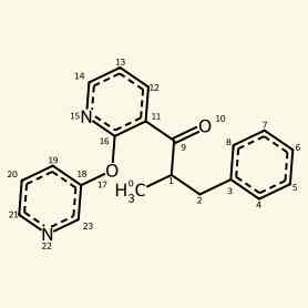 CC(Cc1ccccc1)C(=O)c1cccnc1Oc1cccnc1